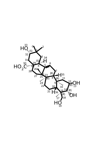 CC1(C)C[C@H]2C3=CC[C@@H]4[C@@]5(C)C[C@@H](O)[C@H](O)[C@@](C)(CO)[C@@H]5CC[C@@]4(C)[C@]3(C)CC[C@@]2(C(=O)O)C[C@@H]1O